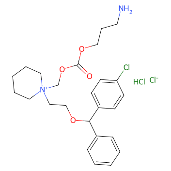 Cl.NCCCOC(=O)OC[N+]1(CCOC(c2ccccc2)c2ccc(Cl)cc2)CCCCC1.[Cl-]